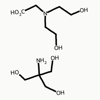 NC(CO)(CO)CO.O=C(O)CN(CCO)CCO